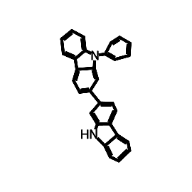 c1ccc(-n2c3ccccc3c3ccc(-c4ccc5c(c4)[nH]c4ccccc45)cc32)cc1